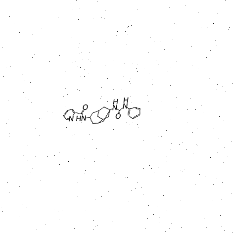 O=C(Nc1ccccc1)NC12CC3CC(NC(=O)c4ccccn4)CC(C1)C(C3)C2